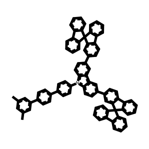 Cc1cc(C)cc(-c2ccc(-c3ccc(-n4c5ccc(-c6ccc7c(c6)C6(c8ccccc8-c8ccccc86)c6ccccc6-7)cc5c5cc(-c6ccc7c(c6)C6(c8ccccc8-c8ccccc86)c6ccccc6-7)ccc54)cc3)cc2)c1